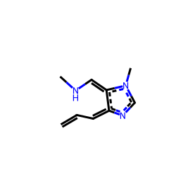 C=C/C=c1/ncn(C)/c1=C/NC